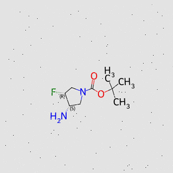 CC(C)(C)OC(=O)N1C[C@@H](F)[C@@H](N)C1